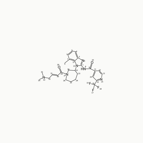 Cc1cccc2nc(NC(=O)c3ccnc(C(F)(F)F)c3)n(C3CCCCN(C(=O)/C=C/CN(C)C)C3)c12